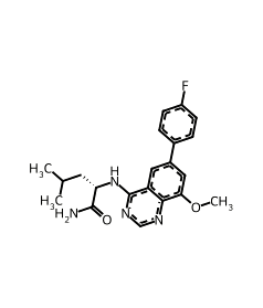 COc1cc(-c2ccc(F)cc2)cc2c(N[C@@H](CC(C)C)C(N)=O)ncnc12